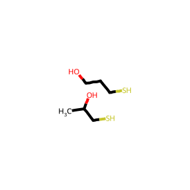 CC(O)CS.OCCCS